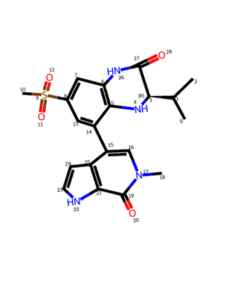 CC(C)[C@H]1Nc2c(cc(S(C)(=O)=O)cc2-c2cn(C)c(=O)c3[nH]ccc23)NC1=O